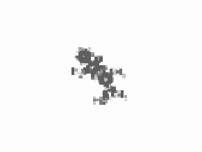 CC/[N+](CCO)=C1/C=CC(=NC2=C(C)N(C)C(c3ccccc3)C2=O)C(C)=C1